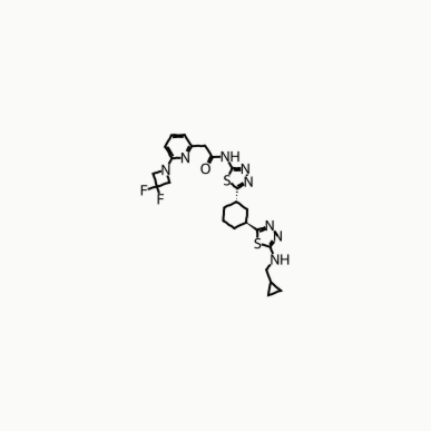 O=C(Cc1cccc(N2CC(F)(F)C2)n1)Nc1nnc([C@H]2CCC[C@H](c3nnc(NCC4CC4)s3)C2)s1